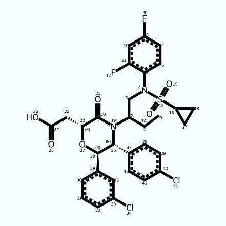 CCC(CN(c1ccc(F)cc1F)S(=O)(=O)C1CC1)N1C(=O)[C@@H](CC(=O)O)O[C@H](c2cccc(Cl)c2)[C@H]1c1ccc(Cl)cc1